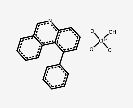 [O-][Cl+3]([O-])([O-])O.c1ccc(-c2cccc3ncc4ccccc4c23)cc1